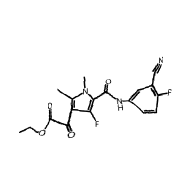 CCOC(=O)C(=O)c1c(F)c(C(=O)Nc2ccc(F)c(C#N)c2)n(C)c1C